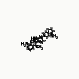 C=C(c1ccnc(N)c1Cl)c1n[nH]c2nc(N3CCC4(CCC[C@H]4N)CC3)cnc12